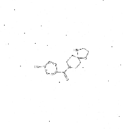 O=Nc1ccc(C(=O)N2CCC3(CC2)NCCO3)cc1